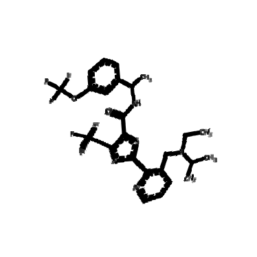 CCN(Cc1cccnc1-c1nc(C(F)(F)F)c(C(=O)NC(C)c2cccc(OC(F)(F)F)c2)s1)C(C)C